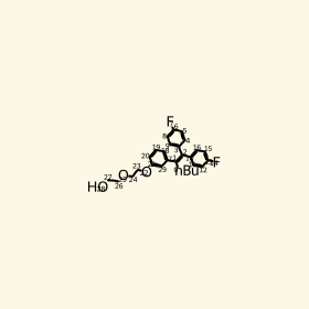 CCCCC(=C(c1ccc(F)cc1)c1ccc(F)cc1)c1cccc(OCCOCCO)c1